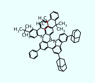 CC(C)(C)c1ccc(N2c3cc4c(cc3B3c5c(cc(-c6ccccc6)cc52)-c2cc(C56CC7CC(CC(C7)C5)C6)cc5c6cc(C78CC9CC(CC(C9)C7)C8)ccc6n3c25)C(C)(C)c2ccccc2C4(C)C)c(-c2ccccc2)c1